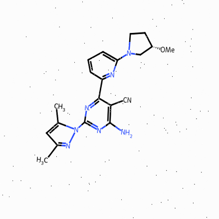 CO[C@H]1CCN(c2cccc(-c3nc(-n4nc(C)cc4C)nc(N)c3C#N)n2)C1